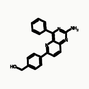 Nc1nc(-c2ccccc2)c2nc(-c3ccc(CO)cc3)ccc2n1